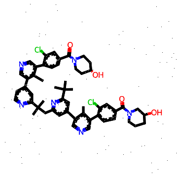 Cc1c(-c2ccnc(C(C)(C)Cc3cc(-c4cncc(-c5ccc(C(=O)N6CCCC(O)C6)cc5Cl)c4C)cc(C(C)(C)C)n3)c2)cncc1-c1ccc(C(=O)N2CCC(O)CC2)cc1Cl